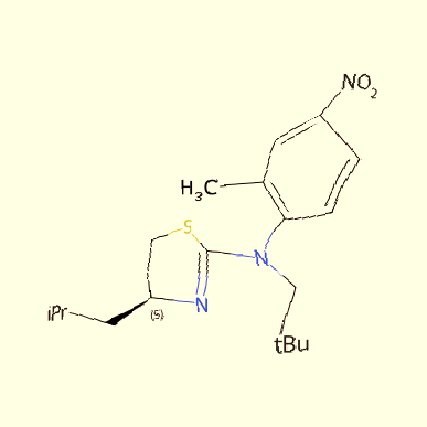 Cc1cc([N+](=O)[O-])ccc1N(CC(C)(C)C)C1=N[C@@H](CC(C)C)CS1